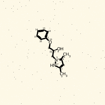 Cc1cc(C)[n+](C[C@H](O)COc2ccccc2)[nH]1